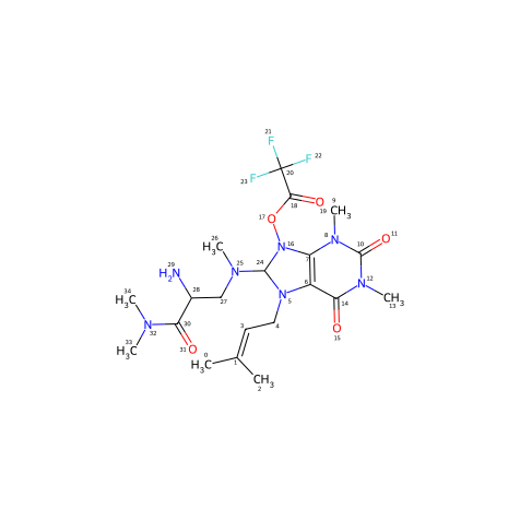 CC(C)=CCN1c2c(n(C)c(=O)n(C)c2=O)N(OC(=O)C(F)(F)F)C1N(C)CC(N)C(=O)N(C)C